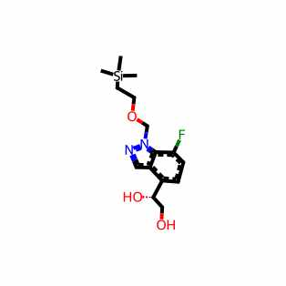 C[Si](C)(C)CCOCn1ncc2c([C@@H](O)CO)ccc(F)c21